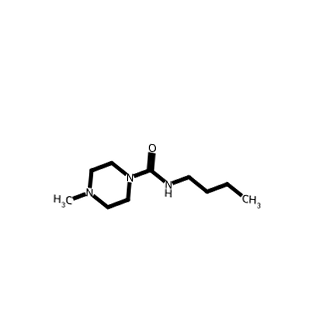 CCCCNC(=O)N1CCN(C)CC1